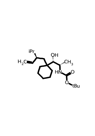 C=C[C@H](CC1([C@H](O)[C@H](C)NC(=O)OC(C)(C)C)CCCCC1)C(C)C